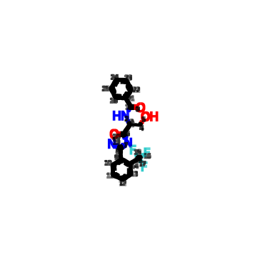 O=C(N[C@@H](CO)c1nc(-c2ccccc2C(F)(F)F)no1)c1ccccc1